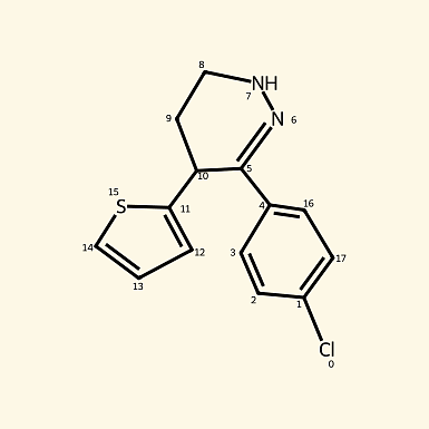 Clc1ccc(C2=NNCCC2c2cccs2)cc1